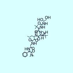 CCCC(NC(=O)[C@@H]1[C@@H]2[C@H](CN1C(=O)[C@@H](NC(=O)NC(O)CO)C(C)(C)C)C2(C)C)C(=O)C(=O)NCC(=O)N[C@H](C(=O)N(C)C)c1ccccc1